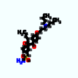 CCCCc1oc2ccc(CS(N)(=O)=O)cc2c1C(=O)c1ccc(OCCCN(CCCC)CCCC)cc1